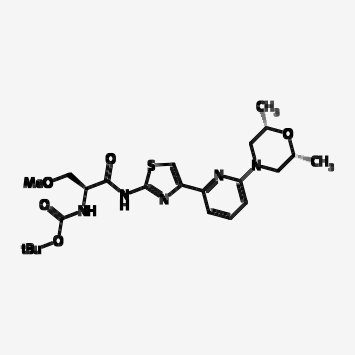 COC[C@H](NC(=O)OC(C)(C)C)C(=O)Nc1nc(-c2cccc(N3C[C@@H](C)O[C@@H](C)C3)n2)cs1